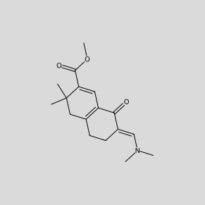 COC(=O)C1=CC2=C(CCC(=CN(C)C)C2=O)CC1(C)C